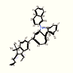 C=C/C=C1\C(=C/C)c2cc(-c3ccc4c5ccccc5n(-c5ccc6ccccc6c5)c4c3)ccc2C1(C)C